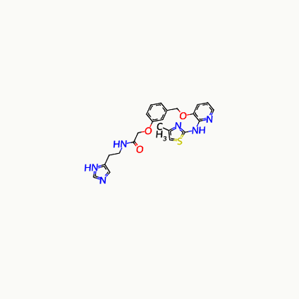 Cc1csc(Nc2ncccc2OCc2cccc(OCC(=O)NCCc3cnc[nH]3)c2)n1